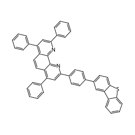 c1ccc(-c2cc(-c3ccccc3)c3ccc4c(-c5ccccc5)cc(-c5ccc(-c6ccc7sc8ccccc8c7c6)cc5)nc4c3n2)cc1